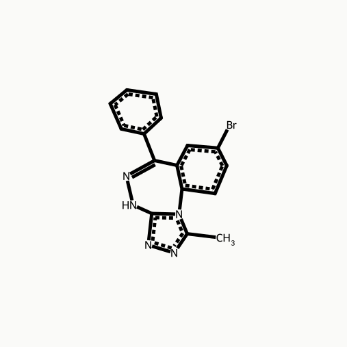 Cc1nnc2n1-c1ccc(Br)cc1C(c1ccccc1)=NN2